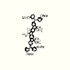 COc1cccc(N(c2cccc(OC)c2)c2ccc3c(c2)C(C)(C)c2cc4c(cc2-3)C(C)(C)c2cc3c(cc2-4)C(C)(C)c2cc(N(c4cccc(OC)c4)c4cccc(OC)c4)ccc2-3)c1